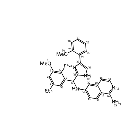 CCc1cc(OC)c(F)c(C(Nc2ccc3c(N)nccc3c2)c2nc(-c3ccccc3OC)c[nH]2)c1